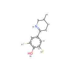 CC1CCC(c2cc(F)c(O)c(F)c2)=NC1